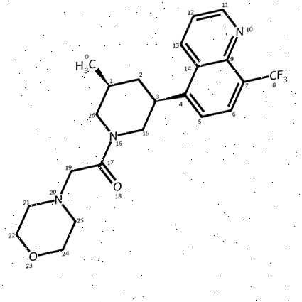 C[C@H]1C[C@@H](c2ccc(C(F)(F)F)c3ncccc23)CN(C(=O)CN2CCOCC2)C1